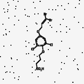 O=C(O)CCCOc1c(Cl)cc(OCC=C(Br)Br)cc1Cl